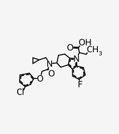 CCC(C(=O)O)n1c2c(c3cc(F)ccc31)CC(N(CC1CC1)C(=O)COc1cccc(Cl)c1)CC2